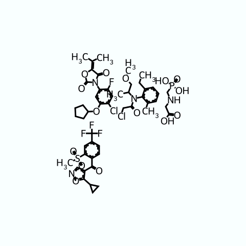 CC(C)=C1OC(=O)N(c2cc(OC3CCCC3)c(Cl)cc2F)C1=O.CCc1cccc(C)c1N(C(=O)CCl)C(C)COC.CS(=O)(=O)c1cc(C(F)(F)F)ccc1C(=O)c1cnoc1C1CC1.O=C(O)CNCP(=O)(O)O